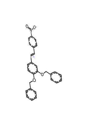 O=[N+]([O-])c1ccc(/C=C/c2ccc(OCc3ccccc3)c(OCc3ccccc3)c2)cc1